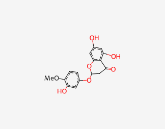 COc1ccc(OC2CC(=O)c3c(O)cc(O)cc3O2)cc1O